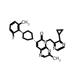 Cc1cnc2cc([C@H]3CC[C@H](c4c(C)cccc4F)CC3)c(=O)n(Cc3nccnc3C3CC3)c2n1